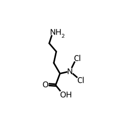 NCCCC(C(=O)O)N(Cl)Cl